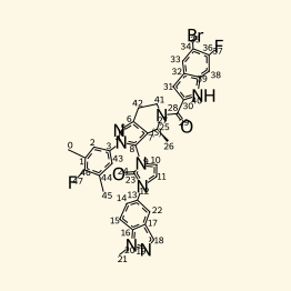 Cc1cc(-n2nc3c(c2-n2ccn(-c4ccc5c(cnn5C)c4)c2=O)[C@H](C)N(C(=O)c2cc4cc(Br)c(F)cc4[nH]2)CC3)cc(C)c1F